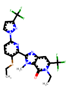 CCSc1ccc(-n2ccc(C(F)(F)F)n2)nc1-c1nc2cc(C(F)(F)F)n(CC)c(=O)c2n1C